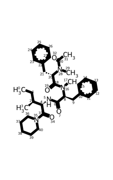 CC[C@H](C)[C@H](NC(=O)[C@H](Cc1cc#ccc1)N(C)C(=O)[C@H](Cc1ccccc1)N(C)C(C)=O)C(=O)N1CCCCC1